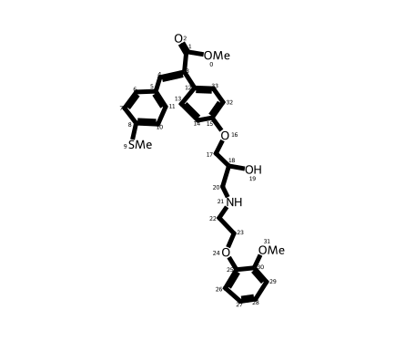 COC(=O)C(=Cc1ccc(SC)cc1)c1ccc(OCC(O)CNCCOc2ccccc2OC)cc1